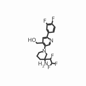 NC1(C(F)C(F)F)CCCN(c2cnc(-c3ccc(F)c(F)c3)cc2CO)C1